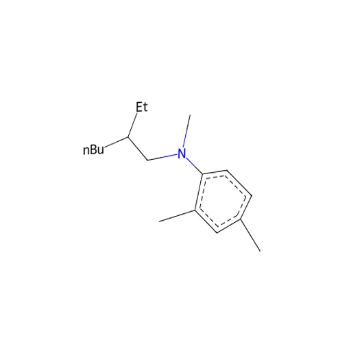 CCCCC(CC)CN(C)c1ccc(C)cc1C